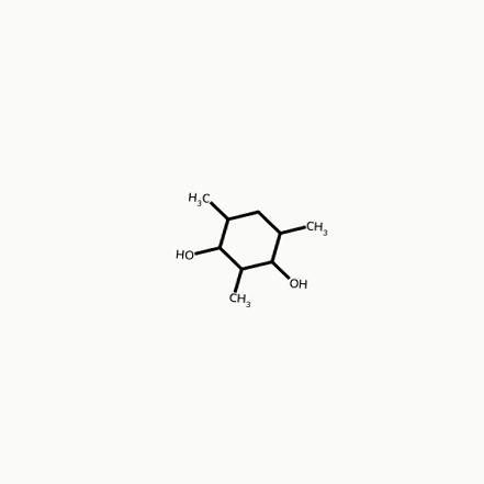 CC1CC(C)C(O)C(C)C1O